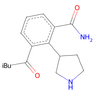 CCC(C)C(=O)c1cccc(C(N)=O)c1C1CCNC1